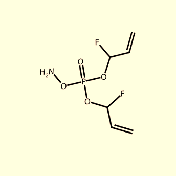 C=CC(F)OP(=O)(ON)OC(F)C=C